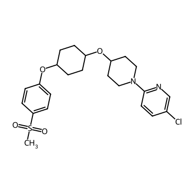 CS(=O)(=O)c1ccc(OC2CCC(OC3CCN(c4ccc(Cl)cn4)CC3)CC2)cc1